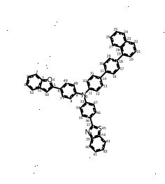 c1ccc2oc(-c3ccc(N(c4ccc(-c5ccc(-c6cccc7ccccc67)cc5)cc4)c4ccc(-c5nc6ccccc6s5)cc4)cc3)cc2c1